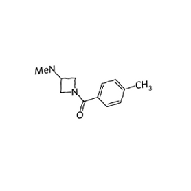 CNC1CN(C(=O)c2ccc(C)cc2)C1